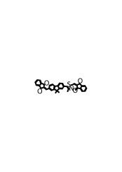 Cc1nc(C=C2C(=O)c3ccccc3C2=O)sc1-c1ccc2c(c1)C(C)(C)c1cc(C=C3C(=O)c4ccccc4C3=O)ccc1-2